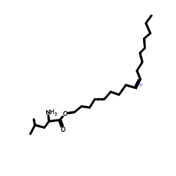 CCCCCCCC/C=C\CCCCCCCCOC(=O)C(N)CC(C)C